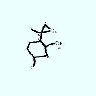 CC1CCC(C2(C)CO2)C(O)C1